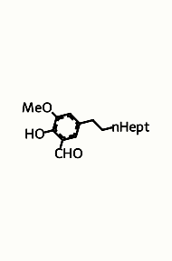 CCCCCCCCCc1cc(C=O)c(O)c(OC)c1